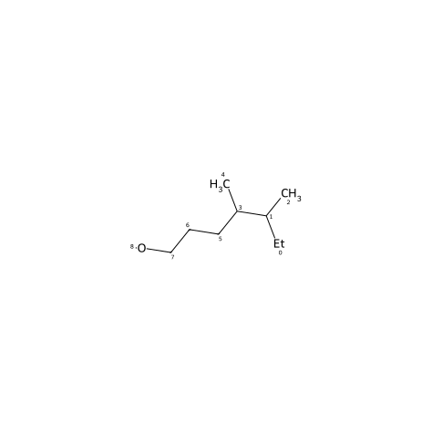 CCC(C)C(C)CCC[O]